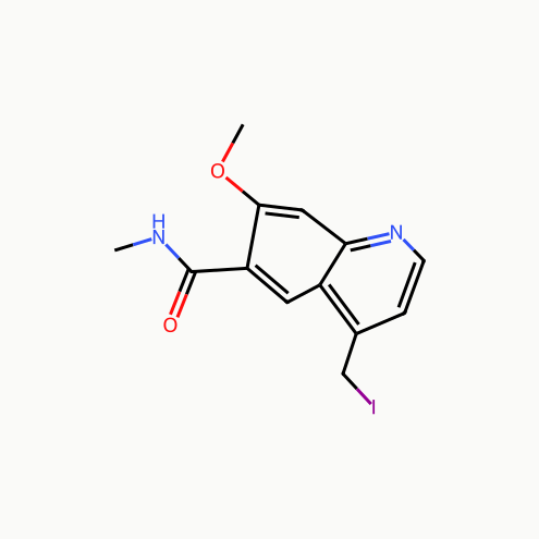 CNC(=O)c1cc2c(CI)ccnc2cc1OC